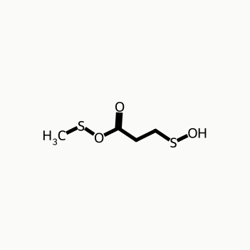 CSOC(=O)CCSO